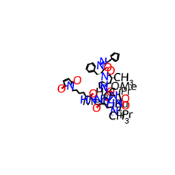 CC[C@H](C)[C@@H]([C@@H](CC(=O)N1CCC[C@H]1[C@H](OC)[C@@H](C)C(=O)N[C@H](Cc1ccccc1)c1nnc(-c2ccccc2)o1)OC)N(C)[C@H](C(=O)NC(=O)[C@H](C(C)C)N(C)CCCC(=O)NNC(=O)CCCCCN1C(=O)C=CC1=O)C(C)C